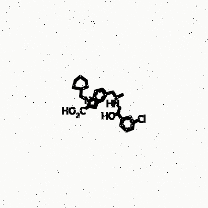 CC(Cc1ccc2c(c1)cc(C(=O)O)n2CC1CCCCC1)NCC(O)c1cccc(Cl)c1